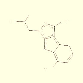 COC1=C2C=c3c(c(OC)nn3CC(C)O)=C2CC=C1